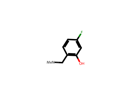 CNCc1ccc(F)cc1O